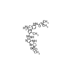 CCS(=O)(=O)N1CCC(Nc2c(Br)cnc3nc(-c4cc(C)n(-c5ccc(NC(=O)CN(C)C)cc5C)c4C)[nH]c23)C1